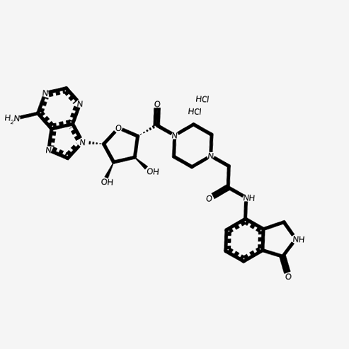 Cl.Cl.Nc1ncnc2c1ncn2[C@@H]1O[C@H](C(=O)N2CCN(CC(=O)Nc3cccc4c3CNC4=O)CC2)[C@@H](O)[C@H]1O